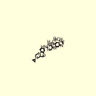 CP(C)(=O)c1c(Nc2nc(Nc3ccc4c(c3)OCC3CN(C5CC5)CCN43)ncc2Br)ccc2nccnc12